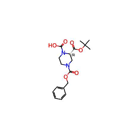 CC(C)(C)OC(=O)[C@@H]1CN(C(=O)OCc2ccccc2)CCN1C(=O)O